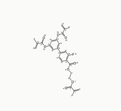 C=C(C)C(=O)OCCOC(=O)c1ccc(-c2cc(OC(=O)C(=C)C)cc(OC(=O)C(=C)C)c2)cc1F